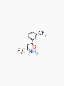 NC(=CC(=O)c1cccc(C(F)(F)F)c1)C(F)(F)F